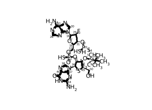 CC(C)(C)[Si](C)(C)OC1[C@@H](OP(=O)(S)OC[C@H]2O[C@@H](n3cnc4c(N)ncnc43)[C@@H](F)[C@@H]2O[PH](=S)S)[C@H](n2cnc3c(=O)[nH]c(N)nc32)S[C@@H]1CO